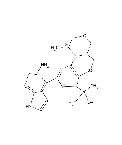 C[C@@H]1COCC2COc3c(nc(-c4c(N)cnc5[nH]ccc45)nc3C(C)(C)O)N21